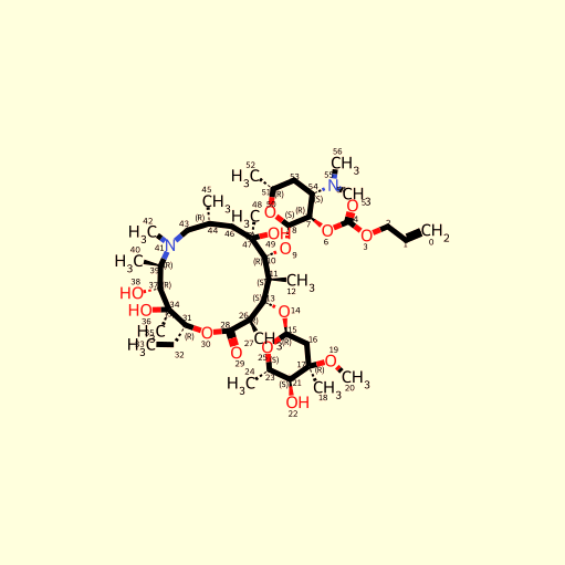 C=CCOC(=O)O[C@H]1[C@H](O[C@@H]2[C@@H](C)[C@H](O[C@H]3C[C@@](C)(OC)[C@@H](O)[C@H](C)O3)[C@@H](C)C(=O)O[C@H](CC)[C@@](C)(O)[C@H](O)[C@@H](C)N(C)C[C@H](C)C[C@@]2(C)O)O[C@H](C)C[C@@H]1N(C)C